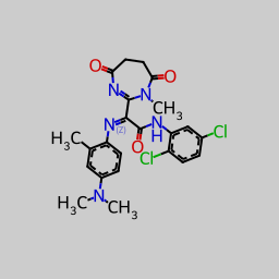 Cc1cc(N(C)C)ccc1/N=C(\C(=O)Nc1cc(Cl)ccc1Cl)C1=NC(=O)CCC(=O)N1C